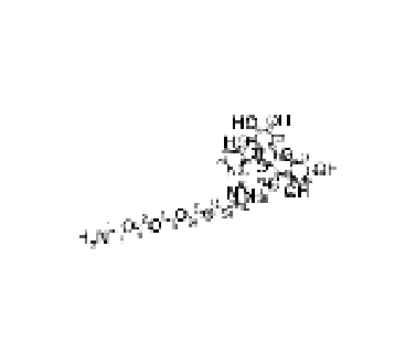 NCCOCCOCCOCCOCCc1cn(CCOC2c3c(O)cc(O)cc3OC(c3cc(O)c(O)c(O)c3)C2OC(=O)c2ccccc2)nn1